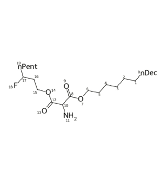 CCCCCCCCCCCCCCCCOC(=O)C(N)C(=O)OCCC(F)CCCCC